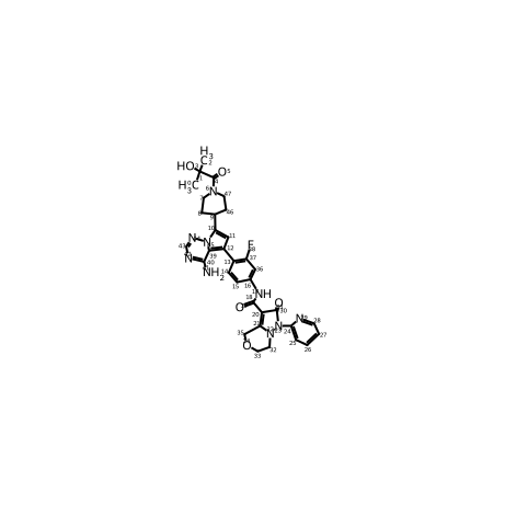 CC(C)(O)C(=O)N1CCC(c2cc(-c3ccc(NC(=O)c4c5n(n(-c6ccccn6)c4=O)CCOC5)cc3F)c3c(N)ncnn23)CC1